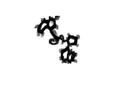 O=C(OC[C@H]1CCCN1c1ccnc2ncnn12)c1cc(Cl)nc2ccccc12